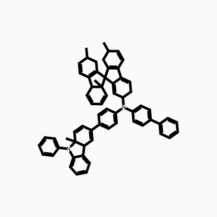 CC1C=CC2=C(C1)C1(C3=CC(N(c4ccc(C5=CC6c7ccccc7N(c7ccccc7)C6(C)C=C5)cc4)c4ccc(-c5ccccc5)cc4)CC=C32)C2=C(C=CC(C)C2)C2C=CC=CC21C